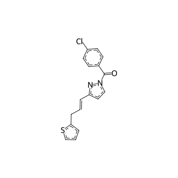 O=C(c1ccc(Cl)cc1)n1ccc(/C=C/Cc2cccs2)n1